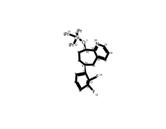 CC(C)[Si](O[C@@H]1CC[C@H](c2cccc(F)c2F)Cc2cccnc21)(C(C)C)C(C)C